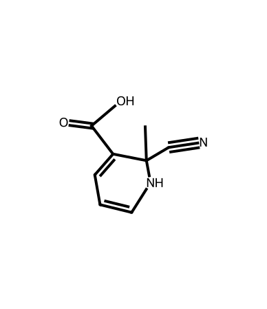 CC1(C#N)NC=CC=C1C(=O)O